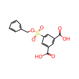 O=C(O)c1cc(C(=O)O)cc(S(=O)(=O)OCc2ccccc2)c1